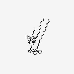 CCCCCC(O)(O)C(=O)O.CCCCCCCCCCCCCCCCCC(=O)[O-].CCCCCCCCCCCCCCCCCC(=O)[O-].[Mg+2]